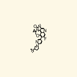 CN(C)C1CCN(c2ccc(-c3c(F)cc4ncc5c6c4c3OCC3(CC3)n6c(=O)n5C)cn2)C1